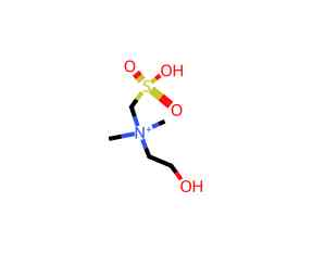 C[N+](C)(CCO)CS(=O)(=O)O